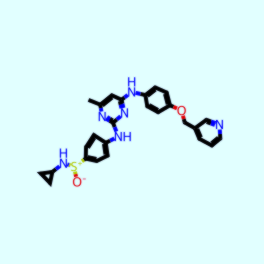 Cc1cc(Nc2ccc(OCc3cccnc3)cc2)nc(Nc2ccc([S+]([O-])NC3CC3)cc2)n1